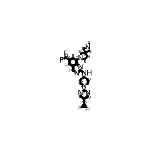 CN1CC2(CCN(c3cc(C(F)F)cc4cnc(NC5CCN(c6ncc(C7CC7)cn6)CC5)nc34)C2)C1